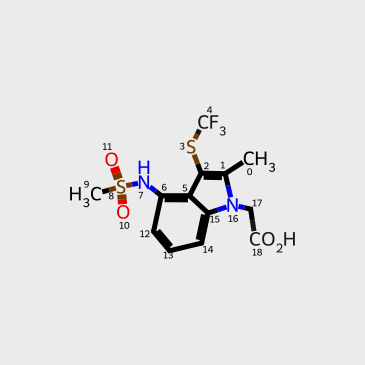 Cc1c(SC(F)(F)F)c2c(NS(C)(=O)=O)cccc2n1CC(=O)O